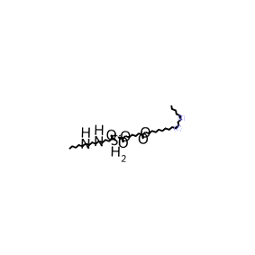 CCCC/C=C\C/C=C\CCCCCCCCOC(=O)CCCCOC(=O)C[SiH2]C(=O)CCCNCCCNCCCCC